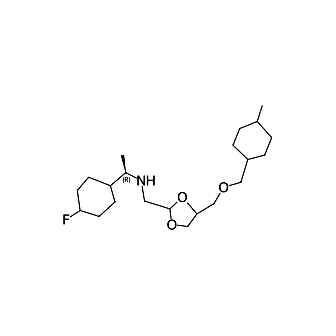 CC1CCC(COCC2COC(CN[C@H](C)C3CCC(F)CC3)O2)CC1